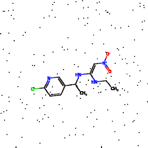 CCNC(=C[N+](=O)[O-])NC(C)c1ccc(Cl)nc1